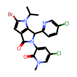 CC(C)n1c(Br)cc2c1C(c1ccc(Cl)cn1)N(c1cc(Cl)cn(C)c1=O)C2=O